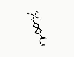 CC(C)(C)OC(=S)N1CC2(CC(O[Si](C)(C)C(C)(C)C)C2)C1